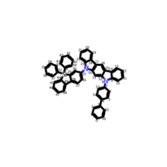 c1ccc(-c2ccc(-n3c4ccccc4c4cc5c6ccccc6n(-c6ccc7c(c6)[Si](c6ccccc6)(c6ccccc6)c6ccccc6-7)c5cc43)cc2)cc1